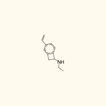 C=Cc1ccc2c(c1)CC2NCC